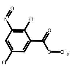 COC(=O)c1cc(Cl)cc(N=O)c1Cl